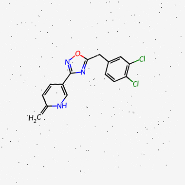 C=C1C=CC(c2noc(Cc3ccc(Cl)c(Cl)c3)n2)=CN1